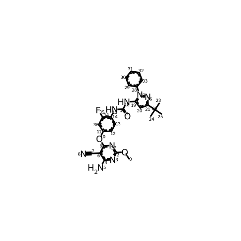 COc1nc(N)c(C#N)c(Oc2ccc(NC(=O)Nc3cc(C(C)(C)C)nn3-c3ccccc3)c(F)c2)n1